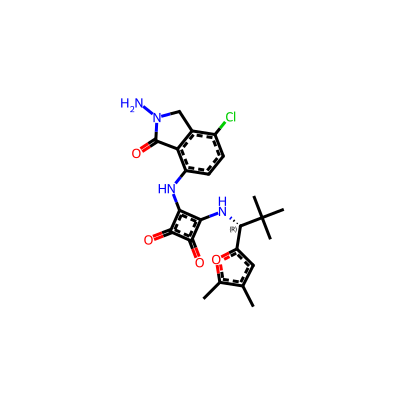 Cc1cc([C@H](Nc2c(Nc3ccc(Cl)c4c3C(=O)N(N)C4)c(=O)c2=O)C(C)(C)C)oc1C